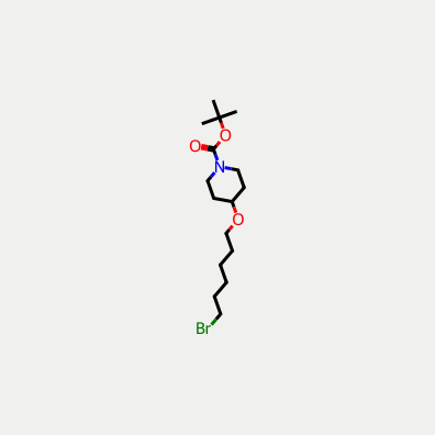 CC(C)(C)OC(=O)N1CCC(OCCCCCCBr)CC1